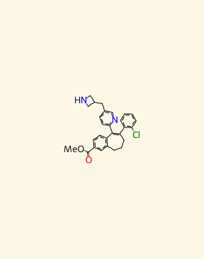 COC(=O)c1ccc2c(c1)CCCC(c1ccccc1Cl)=C2c1ccc(CC2CNC2)cn1